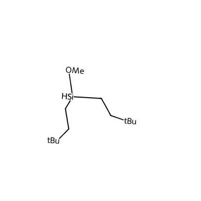 CO[SiH](CCC(C)(C)C)CCC(C)(C)C